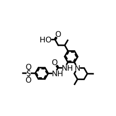 CC1CC(C)CN(c2ccc(C(C)CC(=O)O)cc2NC(=O)Nc2ccc(S(C)(=O)=O)cc2)C1